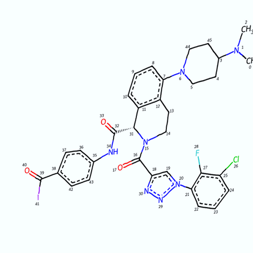 CN(C)C1CCN(c2cccc3c2CCN(C(=O)c2cn(-c4cccc(Cl)c4F)nn2)[C@@H]3C(=O)Nc2ccc(C(=O)I)cc2)CC1